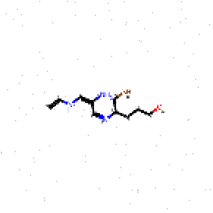 C=CN/C=C(N)\C=N/C(CS)CCCO